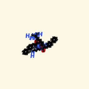 CNCCCCNC(=O)[C@H](Cc1ccc(-c2ccccc2)cc1)NC(=O)C[C@H](CCCNC(=N)N)NC(=O)[C@@H](N)Cc1ccc(-c2ccccc2)cc1